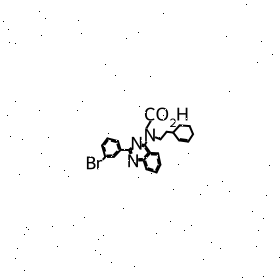 O=C(O)CCN(CCC1C=CCCC1)c1nc(-c2cccc(Br)c2)nc2ccccc12